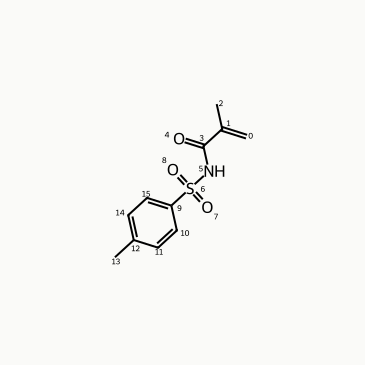 C=C(C)C(=O)NS(=O)(=O)c1ccc(C)cc1